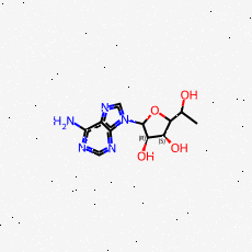 CC(O)C1OC(n2cnc3c(N)ncnc32)[C@H](O)[C@@H]1O